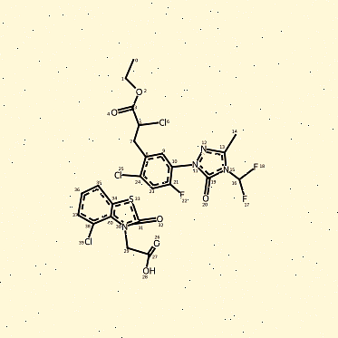 CCOC(=O)C(Cl)Cc1cc(-n2nc(C)n(C(F)F)c2=O)c(F)cc1Cl.O=C(O)Cn1c(=O)sc2cccc(Cl)c21